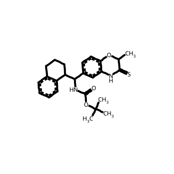 CC1Oc2ccc(C(NC(=O)OC(C)(C)C)C3CCCc4ccccc43)cc2NC1=S